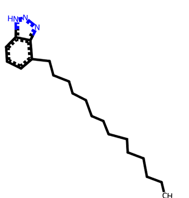 CCCCCCCCCCCCCCc1cccc2[nH]nnc12